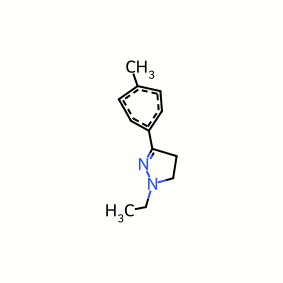 CCN1CCC(c2ccc(C)cc2)=N1